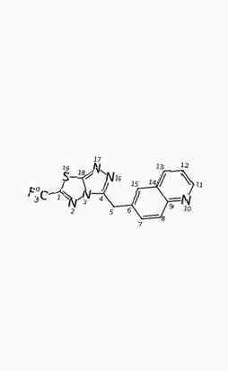 FC(F)(F)c1nn2c(Cc3ccc4ncccc4c3)nnc2s1